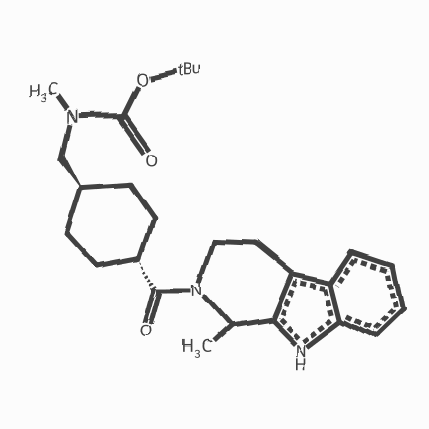 CC1c2[nH]c3ccccc3c2CCN1C(=O)[C@H]1CC[C@H](CN(C)C(=O)OC(C)(C)C)CC1